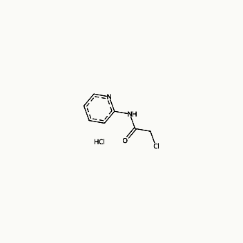 Cl.O=C(CCl)Nc1ccccn1